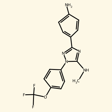 CNc1nc(-c2ccc(N)cc2)nn1-c1ccc(OC(F)(F)F)cc1